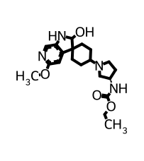 CCOC(=O)N[C@H]1CCN(C2CCC3(CC2)c2cc(OC)ncc2NC3O)C1